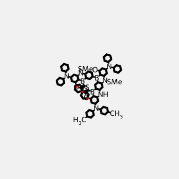 CSN1c2cc3c(cc2B2c4cc5c(cc4Oc4cc(N(c6ccccc6)c6ccccc6)cc1c42)N(SC)c1cc(N(c2ccccc2)c2ccccc2)cc2c1B5c1sc4ccccc4c1O2)B1c2sc4ccccc4c2Oc2cc(N(c4ccc(C)cc4)c4ccc(C)cc4)cc(c21)N3